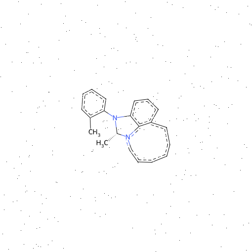 Cc1ccccc1N1c2cccc3ccccccn(c23)[C@@H]1C